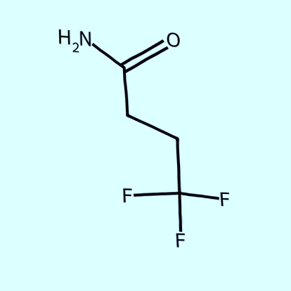 NC(=O)CCC(F)(F)F